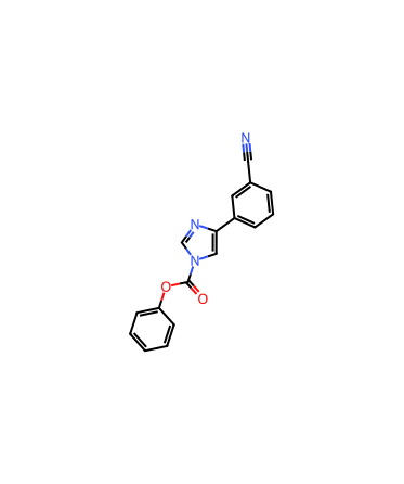 N#Cc1cccc(-c2cn(C(=O)Oc3ccccc3)cn2)c1